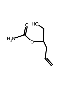 C=CCC(CO)OC(N)=O